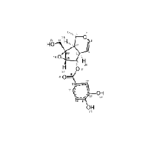 C[C@@H]1OC=C[C@H]2[C@H](OC(=O)c3ccc(O)c(O)c3)[C@@H]3O[C@]3(CO)[C@H]21